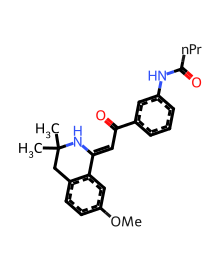 CCCC(=O)Nc1cccc(C(=O)/C=C2\NC(C)(C)Cc3ccc(OC)cc32)c1